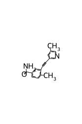 Cc1cncc(C#Cc2cc(C(N)=O)ccc2C)c1